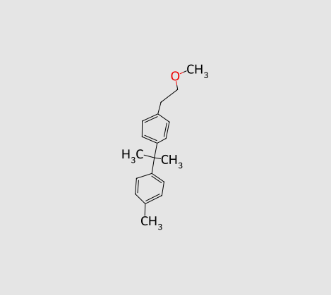 COCCc1ccc(C(C)(C)c2ccc(C)cc2)cc1